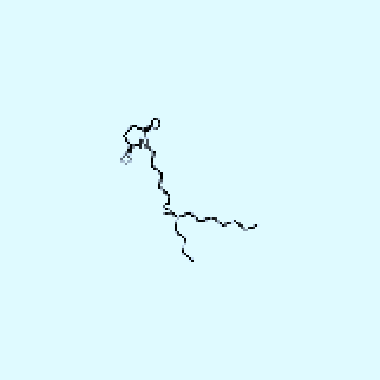 CCCCCCCC(CCCC)SCCCCCN1C(=O)CCC1=O